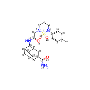 Cc1ccc(N2CCCN(CC(=O)NC3C4CC5CC3CC(C(N)=O)(C5)C4)S2(=O)=O)cc1